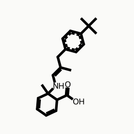 C/C(=C\NC1(C)C=CC=CC1C(=O)O)Cc1ccc(C(C)(C)C)cc1